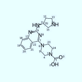 O=C(O)N1CCN(c2nc(N[C@H]3CCNC3)nc3ccccc23)CC1